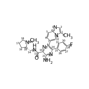 Cc1cnc2ccc(-c3nc(C(=O)NC[C@@H]4CCCN4C)c(N)nc3-c3ccc(F)cc3)cn12